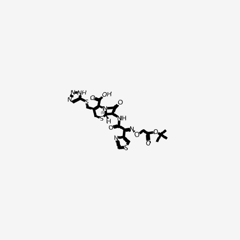 CC(C)(C)OC(=O)CON=C(C(=O)NC1C(=O)N2C(C(=O)O)=C(CSc3cnn[nH]3)CS[C@@H]12)c1cscn1